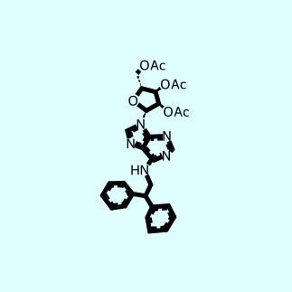 CC(=O)OC[C@H]1O[C@@H](n2cnc3c(NCC(c4ccccc4)c4ccccc4)ncnc32)[C@H](OC(C)=O)[C@@H]1OC(C)=O